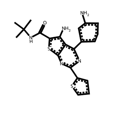 CC(C)(C)NC(=O)c1sc2nc(-c3cccs3)nc(-c3cccc(N)c3)c2c1N